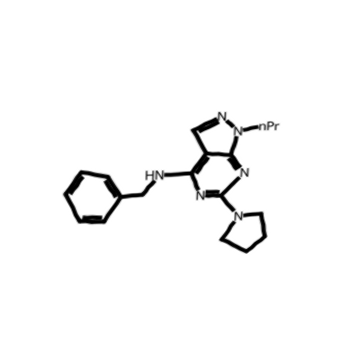 CCCn1ncc2c(NCc3ccccc3)nc(N3CCCC3)nc21